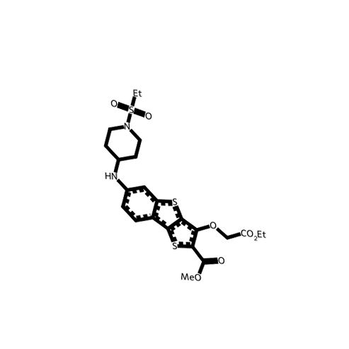 CCOC(=O)COc1c(C(=O)OC)sc2c1sc1cc(NC3CCN(S(=O)(=O)CC)CC3)ccc12